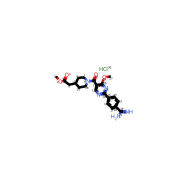 COC(=O)CC1CCN(C(=O)c2cnc(-c3ccc(C(=N)N)cc3)nc2OC)CC1.Cl